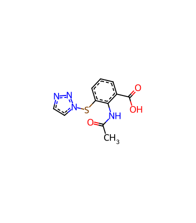 CC(=O)Nc1c(Sn2ccnn2)cccc1C(=O)O